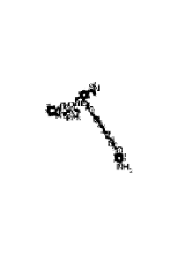 Cc1ncsc1-c1ccc(CNC(=O)[C@@H]2CCCN2C(=O)C(C(C)C)N2Cc3ccccc3C2=O)c(OCCOCCOCCCCOCCOCCOc2ccc(N)cc2)c1